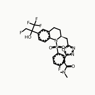 CN(C)C(=O)Cc1nnc(C[C@@H]2CCc3cc(C(O)(CF)C(F)(F)F)ccc3N2S(=O)(=O)c2ccc(F)cc2)o1